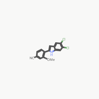 COc1cc(C#N)ccc1-c1cc2cc(Cl)c(Cl)cc2[nH]1